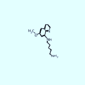 COc1cc(NCCCCCN)c2ncccc2c1